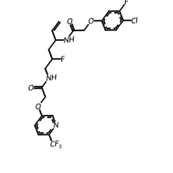 C=CC(CC(F)CNC(=O)COc1ccc(C(F)(F)F)nc1)NC(=O)COc1ccc(Cl)c(F)c1